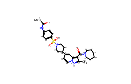 COC(=O)Nc1ccc(S(=O)(=O)N2CCC(c3ccn4nc(C(F)(F)F)c(C(=O)N5CCCCCC5)c4c3)CC2)cc1